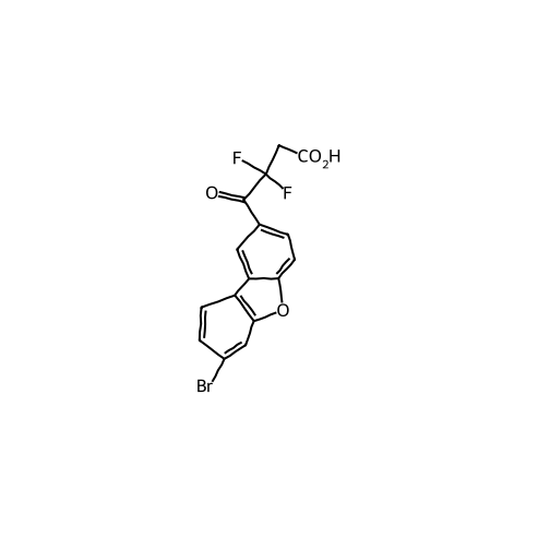 O=C(O)CC(F)(F)C(=O)c1ccc2oc3cc(Br)ccc3c2c1